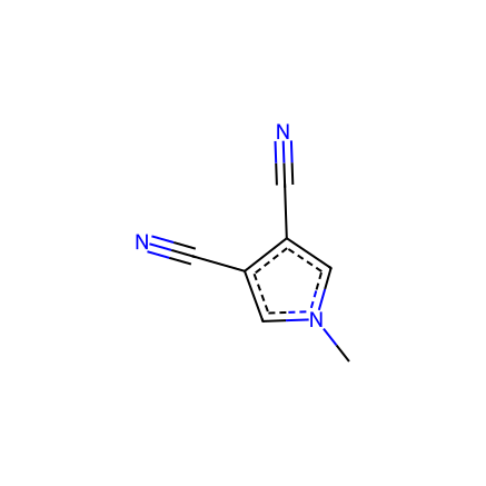 Cn1cc(C#N)c(C#N)c1